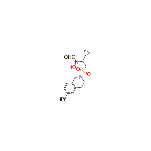 CC(C)c1ccc2c(c1)CCN(S(=O)(=O)CC(C1CC1)N(O)C=O)C2